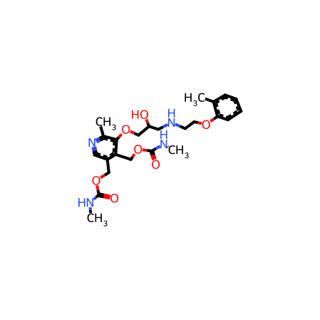 CNC(=O)OCc1cnc(C)c(OCC(O)CNCCOc2ccccc2C)c1COC(=O)NC